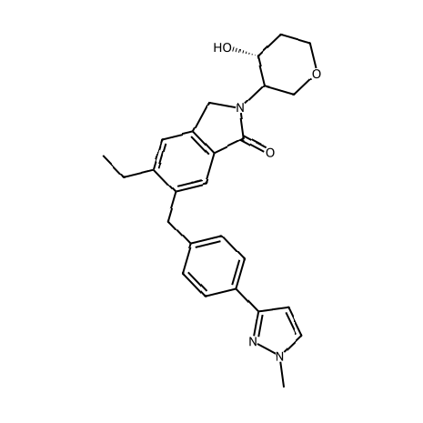 CCc1cc2c(cc1Cc1ccc(-c3ccn(C)n3)cc1)C(=O)N(C1COCC[C@H]1O)C2